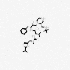 CC(C)c1nc(CN(C)C(=O)N[C@H](C(=O)N[C@@H](Cc2ccccc2)[C@@H](O)CN2CCNC[C@H]2C(=O)NC(C)(C)C)C(C)C)cs1